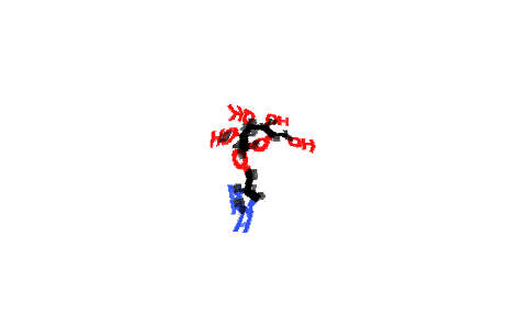 OC[C@H]1O[C@@H](OCc2c[nH]nn2)[C@H](O)[C@@H](O)[C@H]1O